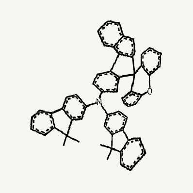 CC1(C)c2ccccc2-c2ccc(N(c3ccc4c(c3)C(C)(C)c3ccccc3-4)c3ccc4c(c3)C3(c5ccccc5Oc5ccccc53)c3ccc5ccccc5c3-4)cc21